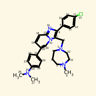 CN1CCCN(Cc2c(-c3ccc(Cl)cc3)nc3ccc(-c4ccc(N(C)C)cc4)cn23)CC1